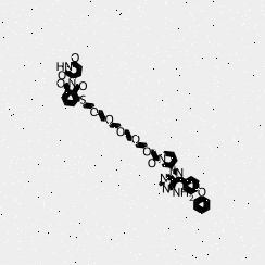 Nc1ncnc2c1c(-c1ccc(Oc3ccccc3)cc1)nn2[C@@H]1CCCN(C(=O)COCCOCCOCCOCCOCCSc2cccc3c2C(=O)N(C2CCC(=O)NC2=O)C3=O)C1